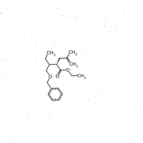 C=C(C)C[C@@H](C(=O)OCC)C(CC)COCc1ccccc1